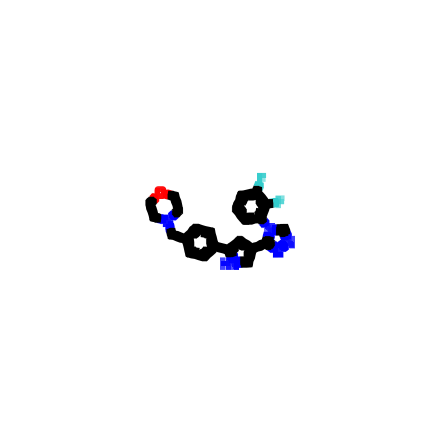 Fc1cccc(-n2cnnc2-c2c[nH]c(-c3ccc(CN4CCOCC4)cc3)c2)c1F